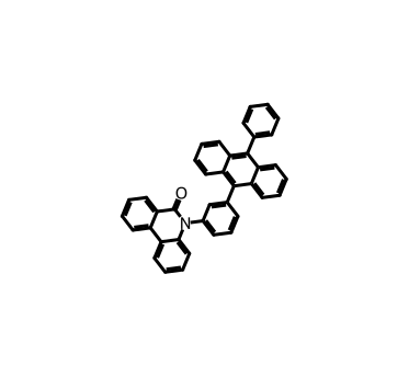 O=c1c2ccccc2c2ccccc2n1-c1cccc(-c2c3ccccc3c(-c3ccccc3)c3ccccc23)c1